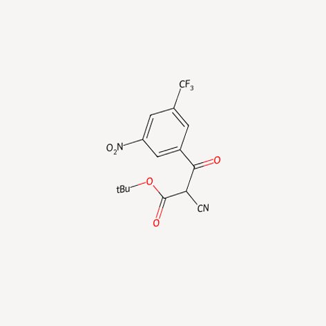 CC(C)(C)OC(=O)C(C#N)C(=O)c1cc([N+](=O)[O-])cc(C(F)(F)F)c1